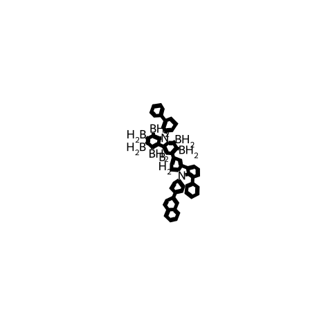 Bc1c(B)c(B)c2c(c1B)c1c(B)c(-c3ccc4c(c3)c3cccc(-c5ccccc5)c3n4-c3ccc(-c4ccc5ccccc5c4)cc3)c(B)c(B)c1n2-c1cccc(-c2ccccc2)c1